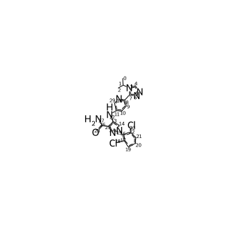 CC(C)n1cnnc1-c1ccc(Nc2cn(-c3c(Cl)cccc3Cl)nc2C(N)=O)cn1